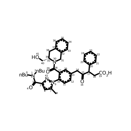 CCCCN(CCCC)C(=O)c1cc(C)n(-c2ccc(CC(=O)C(CC(=O)O)c3ccccc3)cc2C(=O)N2Cc3ccccc3C[C@H]2CO)n1